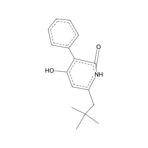 CC(C)(C)Cc1cc(O)c(-c2ccccc2)c(=O)[nH]1